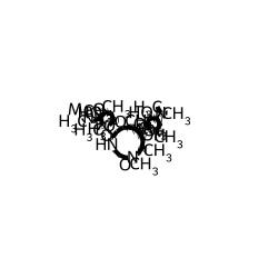 CO[C@]1(C)C[C@H](OC2C(C)C(=O)NCCC(=O)N(C)C[C@H](C)C[C@@](C)(O)[C@H](O[C@@H]3O[C@H](C)C[C@H](N(C)C)[C@H]3O)[C@H]2C)O[C@@H](C)[C@]1(O)CN(C)C